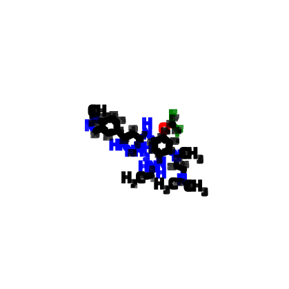 C=CNNc1cc(NC(=N)/C=C(\NN)c2ccc3c(cnn3C)c2)c(OC(F)F)cc1N(C)CCN(C)C